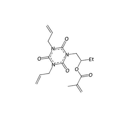 C=CCn1c(=O)n(CC=C)c(=O)n(CC(CC)OC(=O)C(=C)C)c1=O